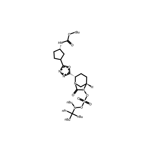 CCCCN(OS(=O)(=O)ON1C(=O)N2C[C@@H]1CC[C@H]2c1nnc(C2CC[C@H](NC(=O)OC(C)(C)C)C2)o1)C(CCC)(CCCC)CCCC